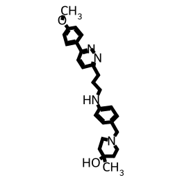 COc1ccc(-c2ccc(CCCNc3ccc(CN4CCC(C)(O)CC4)cc3)nn2)cc1